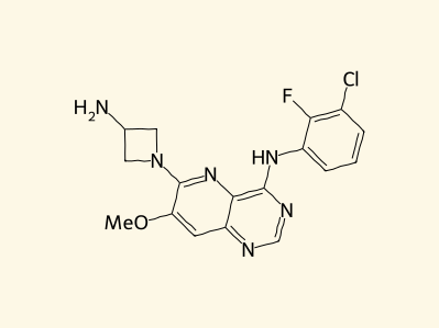 COc1cc2ncnc(Nc3cccc(Cl)c3F)c2nc1N1CC(N)C1